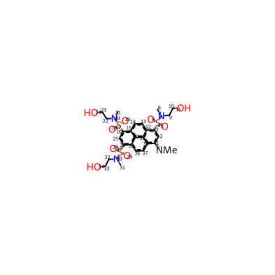 CNc1cc(S(=O)(=O)N(C)CCO)c2ccc3c(S(=O)(=O)N(C)CCO)cc(S(=O)(=O)N(C)CCO)c4ccc1c2c43